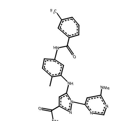 CNC(=O)c1cc(Nc2cc(NC(=O)c3cccc(C(F)(F)F)c3)ccc2C)n(-c2cc(NC)ncn2)n1